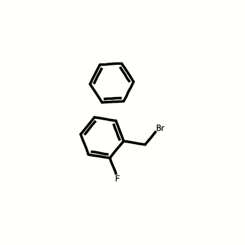 Fc1ccccc1CBr.c1ccccc1